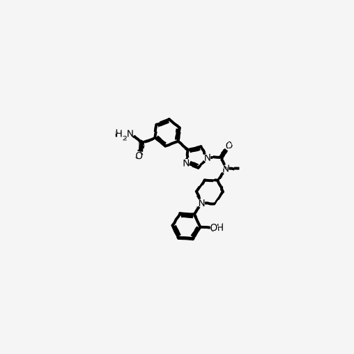 CN(C(=O)n1cnc(-c2cccc(C(N)=O)c2)c1)C1CCN(c2ccccc2O)CC1